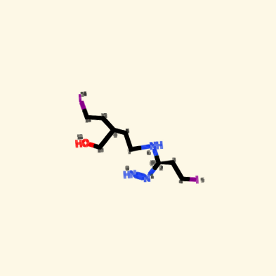 N=N[C@H](CCI)NCCC(CO)CCI